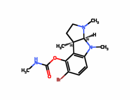 CNC(=O)Oc1c(Br)ccc2c1[C@@]1(C)CCN(C)[C@H]1N2C